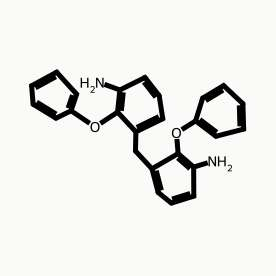 Nc1cccc(Cc2cccc(N)c2Oc2ccccc2)c1Oc1ccccc1